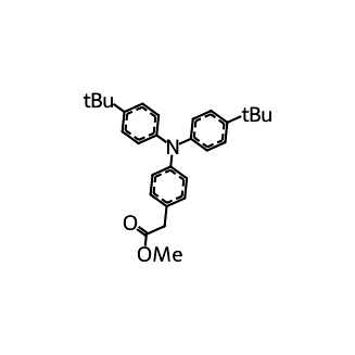 COC(=O)Cc1ccc(N(c2ccc(C(C)(C)C)cc2)c2ccc(C(C)(C)C)cc2)cc1